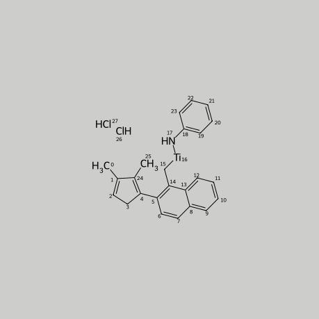 CC1=CCC(c2ccc3ccccc3c2[CH2][Ti][NH]c2ccccc2)=C1C.Cl.Cl